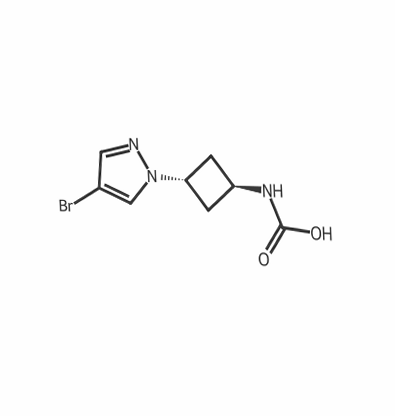 O=C(O)N[C@H]1C[C@H](n2cc(Br)cn2)C1